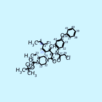 C=C(/C=C\C(F)=C/C)[C@@H](C(=O)N1CCN(C(=O)OC(C)(C)C)[C@H](CC)C1)N(C(=O)CCl)c1ccc(Oc2ccccc2)cc1